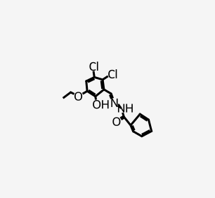 CCOc1cc(Cl)c(Cl)c(/C=N/NC(=O)c2ccccc2)c1O